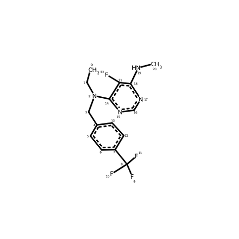 CCN(Cc1ccc(C(F)(F)F)cc1)c1ncnc(NC)c1F